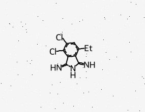 CCc1cc(Cl)c(Cl)c2c1C(=N)NC2=N